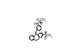 CS(=O)(=O)Nc1cccc(/C=C2/c3ccccc3CCc3cc(S(C)(=O)=O)ccc32)c1